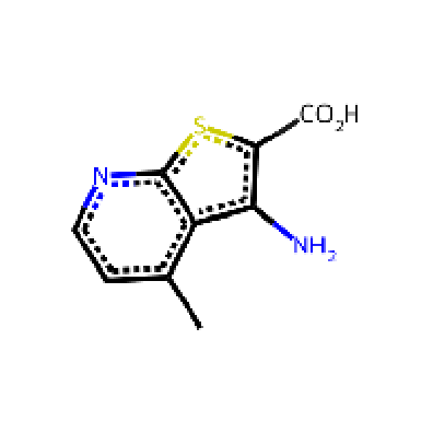 Cc1ccnc2sc(C(=O)O)c(N)c12